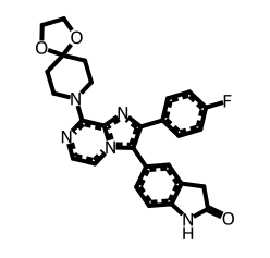 O=C1Cc2cc(-c3c(-c4ccc(F)cc4)nc4c(N5CCC6(CC5)OCCO6)nccn34)ccc2N1